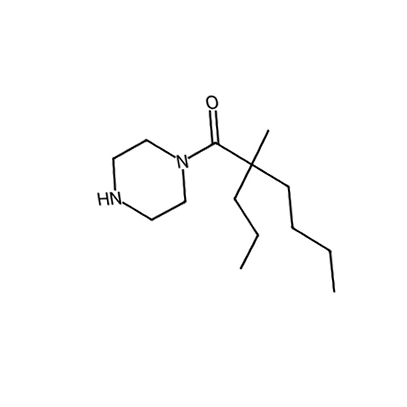 CCCCC(C)(CCC)C(=O)N1CCNCC1